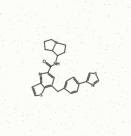 O=C(NC1CCN2CCCC12)c1cc(Cc2ccc(-c3cscn3)cc2)c2sccc2n1